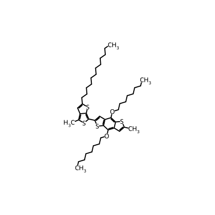 CCCCCCCCCCCCc1cc2c(C)sc(-c3cc4c(OCCCCCCCC)c5sc(C)cc5c(OCCCCCCCC)c4s3)c2s1